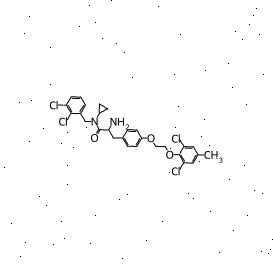 Cc1cc(Cl)c(OCCOc2ccc(CC(N)C(=O)N(Cc3cccc(Cl)c3Cl)C3CC3)cc2)c(Cl)c1